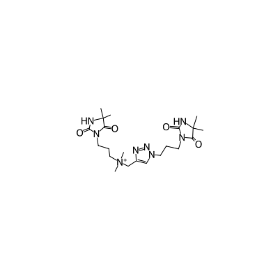 CC1(C)NC(=O)N(CCCn2cc(C[N+](C)(C)CCCN3C(=O)NC(C)(C)C3=O)nn2)C1=O